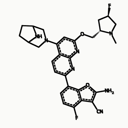 CN1C[C@H](F)C[C@H]1COc1cc(N2CC3CCC(C2)N3)c2ccc(-c3ccc(F)c4c(C#N)c(N)oc34)nc2n1